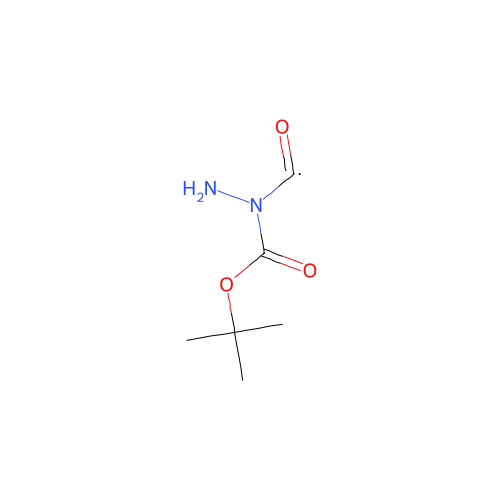 CC(C)(C)OC(=O)N(N)[C]=O